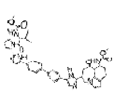 COC(=O)N[C@H]1CCc2ccn3c2C1C(=O)C[C@H](c1ncc(-c2ccc(-c4ccc(-c5cnc([C@@H]6CCCN6C(=O)[C@@H](NC(=O)OC)C(C)C)[nH]5)cc4)cc2)[nH]1)C3